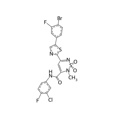 CN1C(C(=O)Nc2ccc(F)c(Cl)c2)=CC(c2ncc(-c3ccc(Br)c(F)c3)s2)=NS1(=O)=O